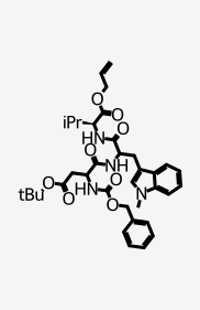 C=CCOC(=O)[C@@H](NC(=O)C(Cc1cn(C)c2ccccc12)NC(=O)C(CC(=O)OC(C)(C)C)NC(=O)OCc1ccccc1)C(C)C